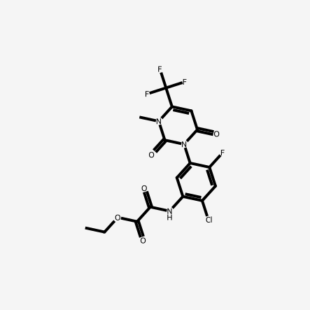 CCOC(=O)C(=O)Nc1cc(-n2c(=O)cc(C(F)(F)F)n(C)c2=O)c(F)cc1Cl